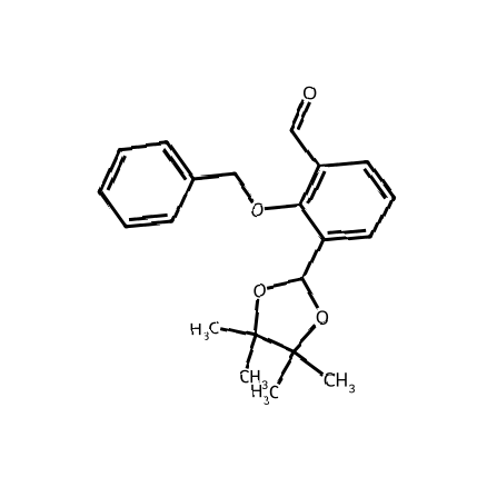 CC1(C)OC(c2cccc(C=O)c2OCc2ccccc2)OC1(C)C